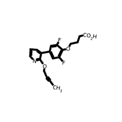 CC#CCOc1ncccc1-c1cc(F)c(OCCCC(=O)O)c(F)c1